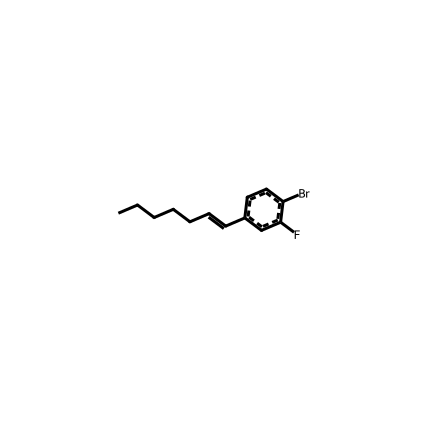 CCCCC/C=C/c1ccc(Br)c(F)c1